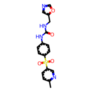 Cc1ccc(S(=O)(=O)c2ccc(NC(=O)NCc3cnco3)cc2)cn1